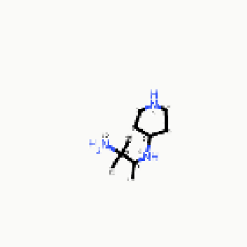 CC(NC1CCNCC1)C(C)(C)N